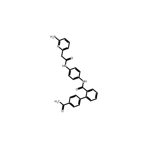 CC(=O)c1ccc(-c2ccccc2C(=O)Nc2ccc(NC(=O)Cc3cccc(N)n3)cc2)cc1